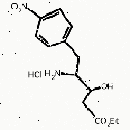 CCOC(=O)C[C@H](O)[C@@H](N)Cc1ccc([N+](=O)[O-])cc1.Cl